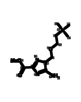 COC(=O)c1nc(N)n(COCC[Si](C)(C)C)n1